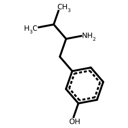 CC(C)C(N)Cc1cccc(O)c1